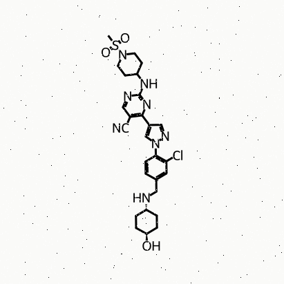 CS(=O)(=O)N1CCC(Nc2ncc(C#N)c(-c3cnn(-c4ccc(CN[C@H]5CC[C@H](O)CC5)cc4Cl)c3)n2)CC1